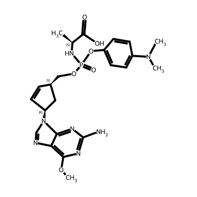 COc1nc(N)nc2c1ncn2[C@H]1C=C[C@@H](COP(=O)(N[C@@H](C)C(=O)O)Oc2ccc(N(C)C)cc2)C1